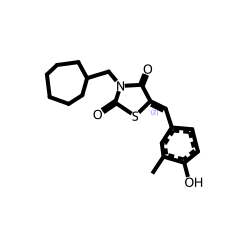 Cc1cc(/C=C2\SC(=O)N(CC3CCCCCC3)C2=O)ccc1O